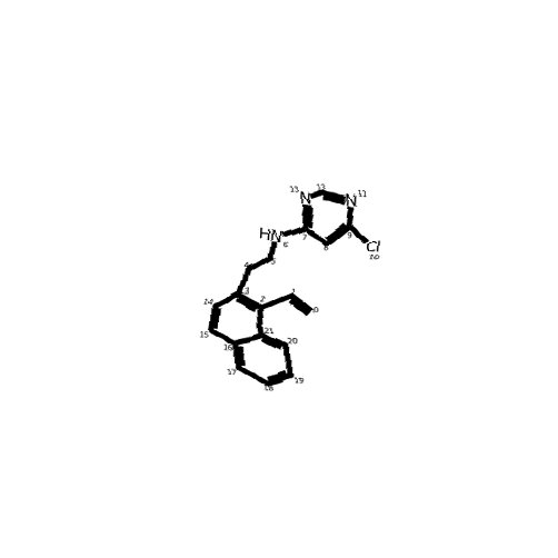 C=Cc1c(CCNc2cc(Cl)ncn2)ccc2ccccc12